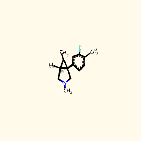 Cc1ccc(C23CN(C)C[C@@H]2C3C)cc1F